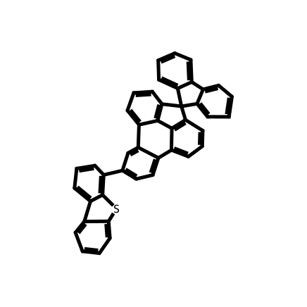 c1ccc2c(c1)-c1ccccc1C21c2cccc3c4ccc(-c5cccc6c5sc5ccccc56)cc4c4cccc1c4c23